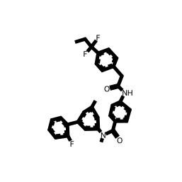 CCC(F)(F)c1ccc(CC(=O)Nc2ccc(C(=O)N(C)c3cc(C)cc(-c4ccccc4F)c3)cc2)cc1